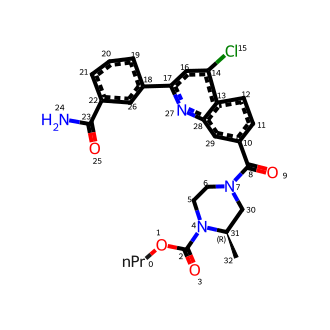 CCCOC(=O)N1CCN(C(=O)c2ccc3c(Cl)cc(-c4cccc(C(N)=O)c4)nc3c2)C[C@H]1C